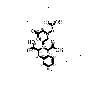 O=C(O)CN(CCN(CC(=O)O)C(Cc1ccccc1)C(=O)O)CC(=O)O